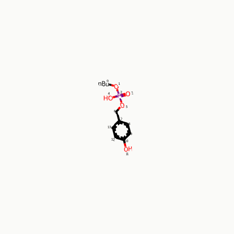 CCCCOP(=O)(O)OCc1ccc(O)cc1